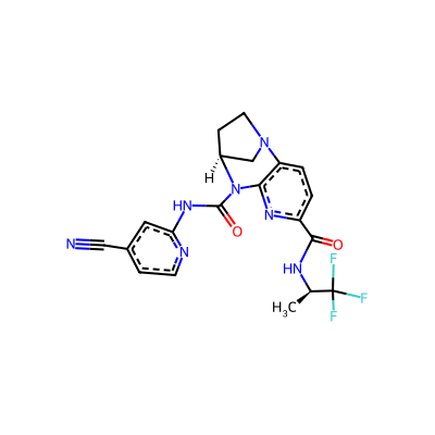 C[C@@H](NC(=O)c1ccc2c(n1)N(C(=O)Nc1cc(C#N)ccn1)[C@H]1CCN2C1)C(F)(F)F